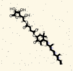 C=C/C=C(C)/C=C/C=C(C)/C=C/C1=C(C)C(=O)C(OC(=O)CCC(=O)OC[C@H](O)[C@H]2OC(=O)C(O)=C2O)CC1(C)C